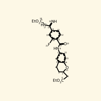 CCOC(=O)CC1CCc2cc(NC(=O)c3ccc(C(=N)NC(=O)OCC)cc3F)ccc2O1